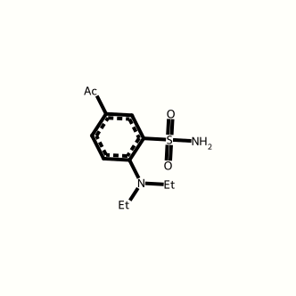 CCN(CC)c1ccc(C(C)=O)cc1S(N)(=O)=O